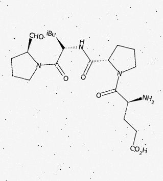 CC[C@H](C)[C@H](NC(=O)[C@@H]1CCCN1C(=O)[C@@H](N)CCC(=O)O)C(=O)N1CCC[C@H]1[C]=O